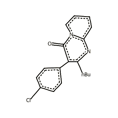 CCCCc1nc2ccccn2c(=O)c1-c1ccc(Cl)cc1